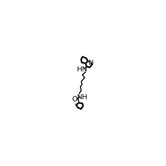 O=C(NCCCCCCCCNc1ccnc2ccccc12)c1ccccc1